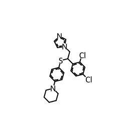 Clc1ccc(C(Cn2ccnc2)Sc2ccc(N3CCCCC3)cc2)c(Cl)c1